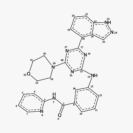 O=C(Nc1ccccn1)c1cccc(Nc2nc(-c3cccc4[nH]ncc34)nc(N3CCOCC3)n2)c1